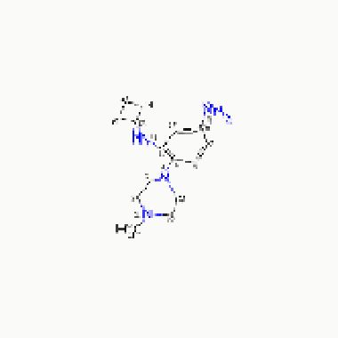 CN1CCN(c2ccc(N)cc2NC2CCC2)CC1